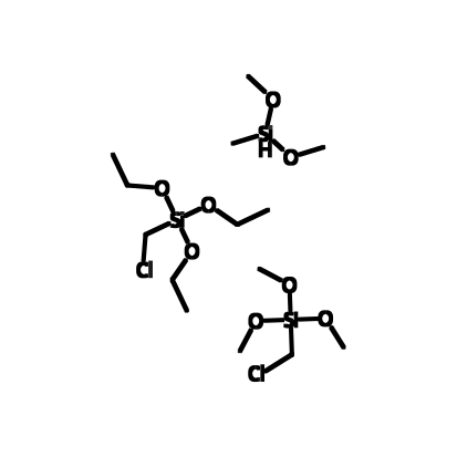 CCO[Si](CCl)(OCC)OCC.CO[SiH](C)OC.CO[Si](CCl)(OC)OC